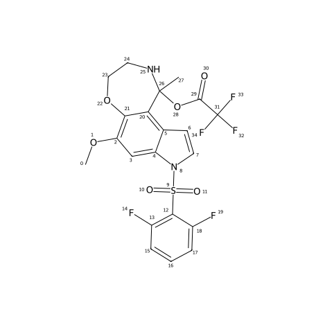 COc1cc2c(ccn2S(=O)(=O)c2c(F)cccc2F)c2c1OCCNC2(C)OC(=O)C(F)(F)F